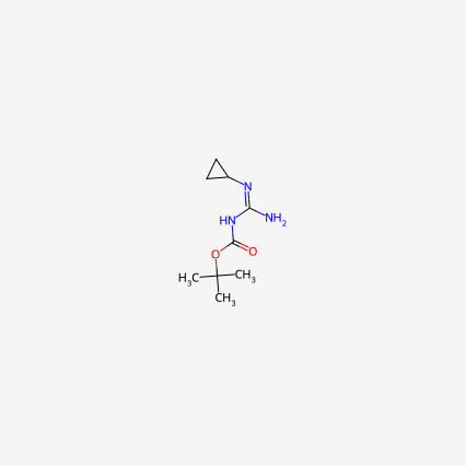 CC(C)(C)OC(=O)NC(N)=NC1CC1